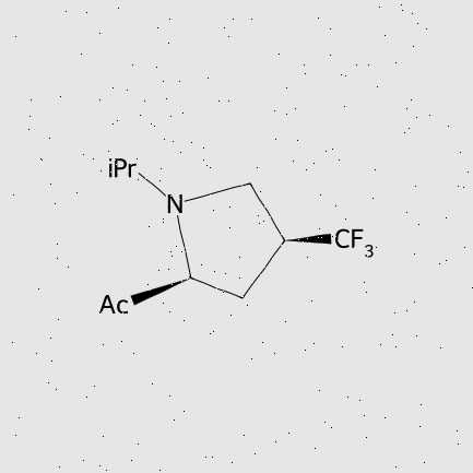 CC(=O)[C@@H]1C[C@H](C(F)(F)F)CN1C(C)C